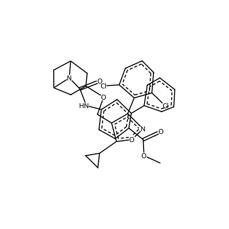 COC(=O)c1ccc(NC(=O)N2C3CC(OCc4c(-c5c(Cl)cccc5Cl)noc4C4CC4)CC2C3)cc1-c1ccccc1